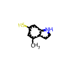 Cc1cc(S)cc2[nH]ccc12